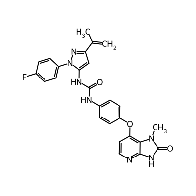 C=C(C)c1cc(NC(=O)Nc2ccc(Oc3ccnc4[nH]c(=O)n(C)c34)cc2)n(-c2ccc(F)cc2)n1